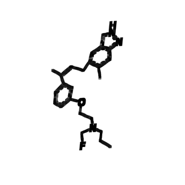 CCCN(CF)CCOc1cccc(C(C)=CCc2cc3c[nH]nc3cc2C)c1